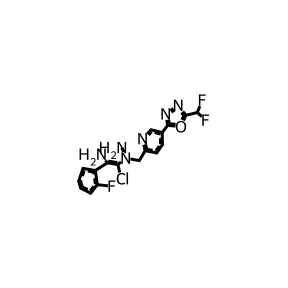 N/C(=C(/Cl)N(N)Cc1ccc(-c2nnc(C(F)F)o2)cn1)c1ccccc1F